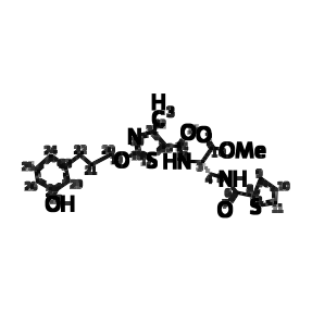 COC(=O)[C@H](CNC(=O)c1cccs1)NC(=O)c1sc(OCCCc2cccc(O)c2)nc1C